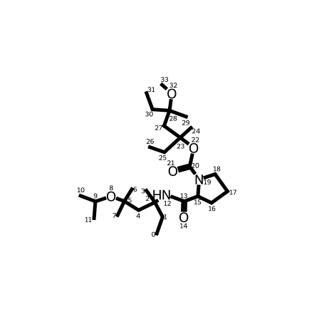 CCC(C)(CC(C)(C)OC(C)C)NC(=O)C1CCCN1C(=O)OC(C)(CC)CC(C)(CC)OC